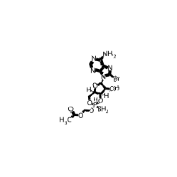 B[PH]1(OCOC(C)=O)OC[C@H]2O[C@@H](n3c(Br)nc4c(N)ncnc43)C(O)[C@H]2O1